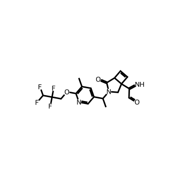 Cc1cc(C(C)N2CC3(C(=N)C=O)C=CC3C2=O)cnc1OCC(F)(F)C(F)F